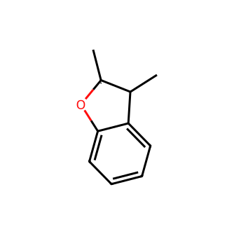 C[C]1Oc2ccccc2C1C